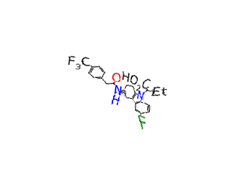 CCC(C(=O)O)n1c2c(c3cc(F)ccc31)C[C@H](NC(=O)Cc1ccc(C(F)(F)F)cc1)CC2